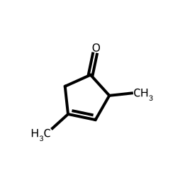 CC1=CC(C)C(=O)C1